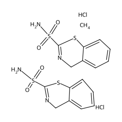 C.Cl.Cl.NS(=O)(=O)C1=NCc2ccccc2S1.NS(=O)(=O)C1=NCc2ccccc2S1